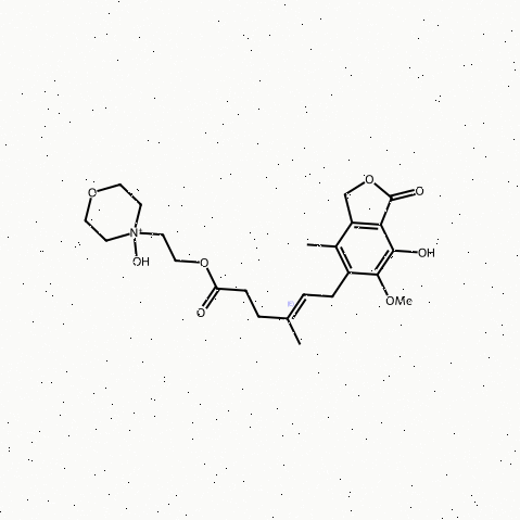 COc1c(O)c2c(c(C)c1C/C=C(\C)CCC(=O)OCC[N+]1(O)CCOCC1)COC2=O